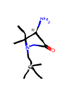 CC1(C)[C@@H](N)C(=O)N1C[Si](C)(C)C